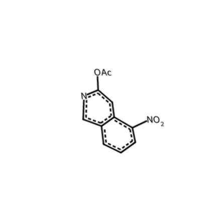 CC(=O)Oc1cc2c([N+](=O)[O-])cccc2cn1